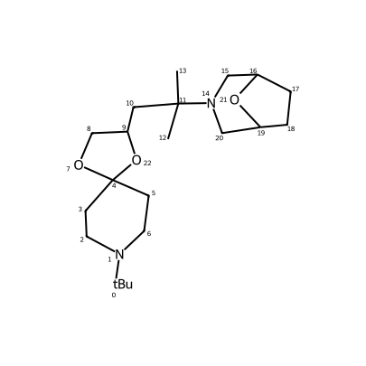 CC(C)(C)N1CCC2(CC1)OCC(CC(C)(C)N1CC3CCC(C1)O3)O2